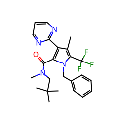 Cc1c(-c2ncccn2)c(C(=O)N(C)CC(C)(C)C)n(Cc2ccccc2)c1C(F)(F)F